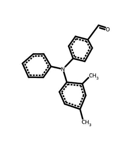 Cc1ccc(N(c2ccccc2)c2ccc(C=O)cc2)c(C)c1